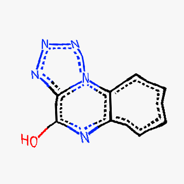 Oc1nc2ccccc2n2nnnc12